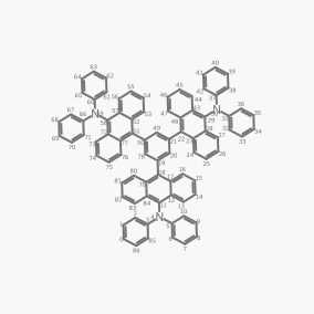 c1ccc(N(c2ccccc2)c2c3ccccc3c(-c3cc(-c4c5ccccc5c(N(c5ccccc5)c5ccccc5)c5ccccc45)cc(-c4c5ccccc5c(N(c5ccccc5)c5ccccc5)c5ccccc45)c3)c3ccccc23)cc1